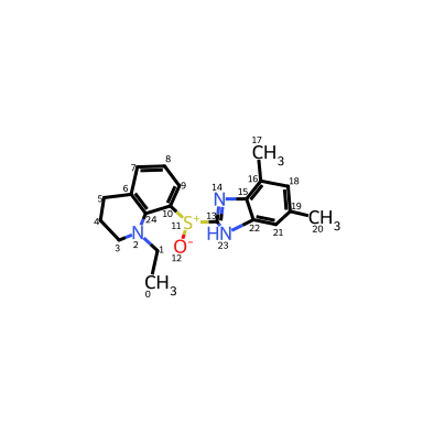 CCN1CCCc2cccc([S+]([O-])c3nc4c(C)cc(C)cc4[nH]3)c21